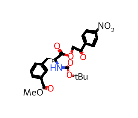 COC(=O)c1cccc(C[C@H](NC(=O)OC(C)(C)C)C(=O)OCC(=O)c2ccc([N+](=O)[O-])cc2)c1